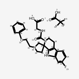 O=C(O)C(F)(F)F.O=C(O)CNC(=O)N1CCc2c([nH]c3cc(F)ccc23)C12CCN(CCOc1ccccc1)C2